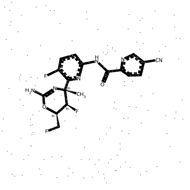 C[C@]1(c2nc(NC(=O)c3ccc(C#N)cn3)ccc2F)N=C(N)O[C@H](CF)[C@@H]1F